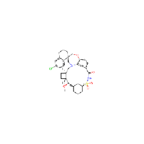 CO[C@@H]1[C@H]2CCC[C@H](C2)S(=O)(=O)NC(=O)c2ccc3c(c2)N(C[C@@H]2CC[C@H]21)C[C@@]1(CCCc2cc(Cl)ccc21)CO3